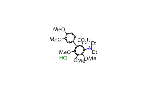 CCN(CC)c1c(OC)c(OC)c(OC)c(-c2ccc(OC)c(OC)c2)c1C(=O)O.Cl